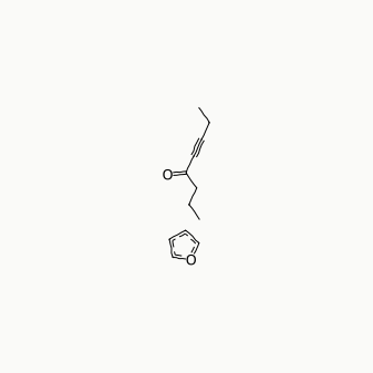 CCC#CC(=O)CCC.c1ccoc1